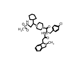 CN1Cc2ccccc2C1CC(=O)N[C@H](Cc1ccc(Cl)cc1)C(=O)N1CCN(C(CNS(C)(=O)=O)C2CCCCC2)CC1